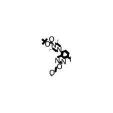 COCCOc1ncc2c(N3C[C@@H](C)N(C(=O)OC(C)(C)C)[C@@H](C)C3)ccc(I)c2n1